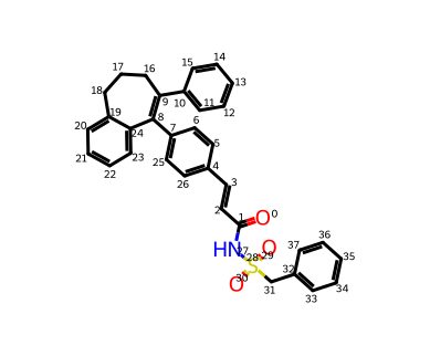 O=C(C=Cc1ccc(C2=C(c3ccccc3)CCCc3ccccc32)cc1)NS(=O)(=O)Cc1ccccc1